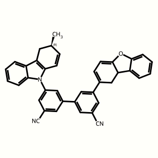 C[C@H]1C=Cc2c(c3ccccc3n2-c2cc(C#N)cc(-c3cc(C#N)cc(C4=CC=C5Oc6ccccc6C5C4)c3)c2)C1